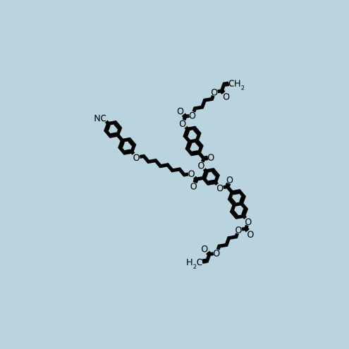 C=CC(=O)OCCCCOC(=O)Oc1ccc2cc(C(=O)Oc3ccc(OC(=O)c4ccc5cc(OC(=O)OCCCCOC(=O)C=C)ccc5c4)c(C(=O)OCCCCCCCCOc4ccc(-c5ccc(C#N)cc5)cc4)c3)ccc2c1